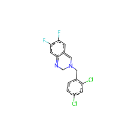 Fc1cc2c(cc1F)=NCN(Cc1ccc(Cl)cc1Cl)C=2